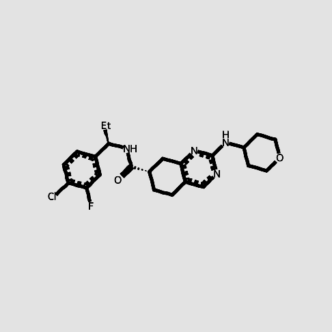 CC[C@@H](NC(=O)[C@H]1CCc2cnc(NC3CCOCC3)nc2C1)c1ccc(Cl)c(F)c1